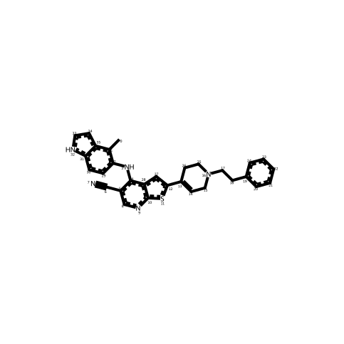 Cc1c(Nc2c(C#N)cnc3sc(C4=CCN(CCc5ccccc5)CC4)cc23)ccc2[nH]ccc12